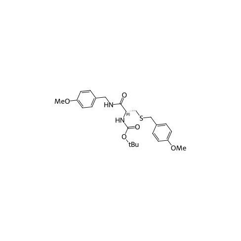 COc1ccc(CNC(=O)[C@H](CSCc2ccc(OC)cc2)NC(=O)OC(C)(C)C)cc1